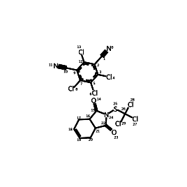 N#Cc1c(Cl)c(Cl)c(Cl)c(C#N)c1Cl.O=C1C2CC=CCC2C(=O)N1SC(Cl)(Cl)Cl